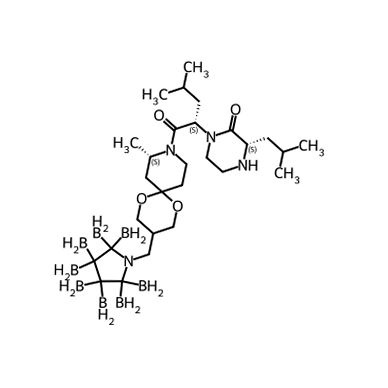 BC1(B)N(CC2COC3(CCN(C(=O)[C@H](CC(C)C)N4CCN[C@@H](CC(C)C)C4=O)[C@@H](C)C3)OC2)C(B)(B)C(B)(B)C1(B)B